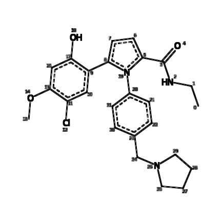 CCNC(=O)c1ccc(-c2cc(Cl)c(OC)cc2O)n1-c1ccc(CN2CCCC2)cc1